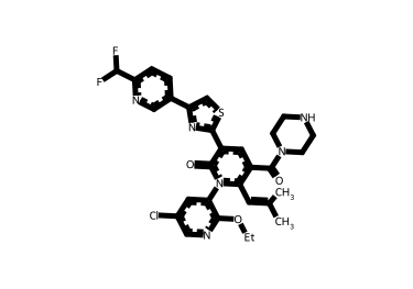 CCOc1ncc(Cl)cc1-n1c(C=C(C)C)c(C(=O)N2CCNCC2)cc(-c2nc(-c3ccc(C(F)F)nc3)cs2)c1=O